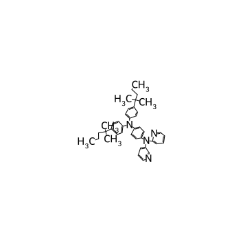 CCCC(C)(C)c1ccc(N(c2ccc(N(c3cccnc3)c3ccccn3)cc2)c2ccc(C(C)(C)CCC)cc2)cc1